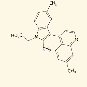 Cc1ccc2c(-c3c(C)n(CC(=O)O)c4ccc(C)cc34)ccnc2c1